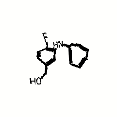 OCc1ccc(F)c(Nc2ccccc2)c1